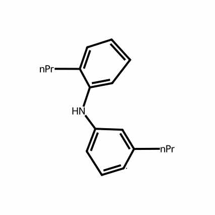 CCCc1[c]ccc(Nc2ccccc2CCC)c1